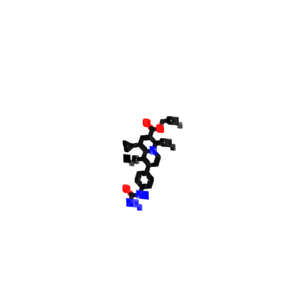 C=C1C(C(=O)OCC)=CC(C2CC2)=C2C(C)=C(c3ccc(NC(N)=O)cc3)C=CN12